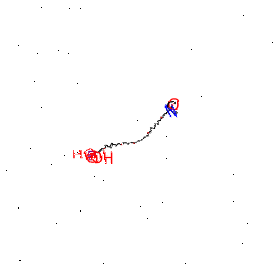 O=C=NCCCCCCCCCCCCCCCCCCCCCCCCCCCCCCCP(=O)(O)O